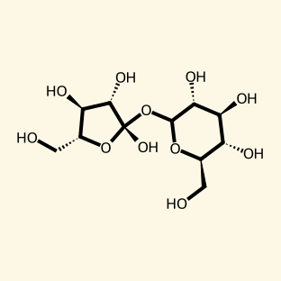 OC[C@H]1O[C@@](O)(OC2O[C@H](CO)[C@@H](O)[C@H](O)[C@H]2O)[C@@H](O)[C@@H]1O